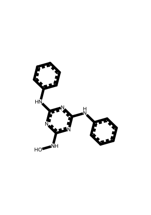 ONc1nc(Nc2ccccc2)nc(Nc2ccccc2)n1